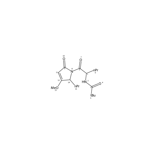 CCCC(NC(=O)C(C)(C)C)C(=O)N1C(=O)C=C(OC)C1CCC